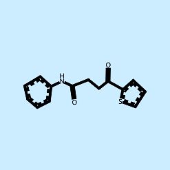 O=C(CCC(=O)c1cccs1)Nc1ccccc1